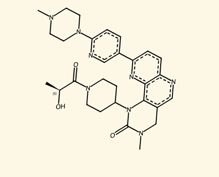 C[C@H](O)C(=O)N1CCC(N2C(=O)N(C)Cc3cnc4ccc(-c5ccc(N6CCN(C)CC6)nc5)nc4c32)CC1